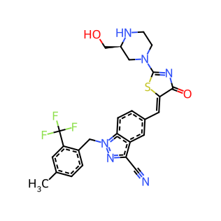 Cc1ccc(Cn2nc(C#N)c3cc(/C=C4\SC(N5CCN[C@H](CO)C5)=NC4=O)ccc32)c(C(F)(F)F)c1